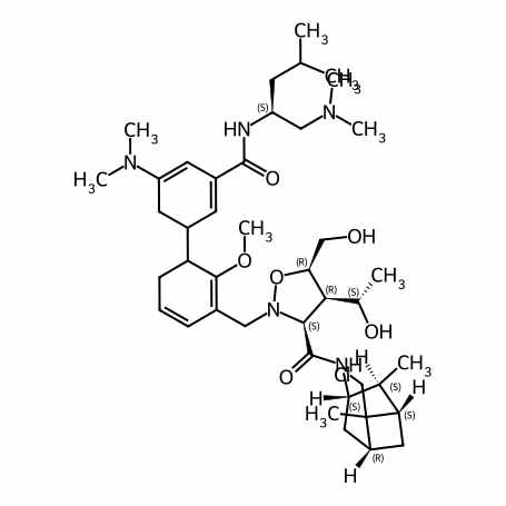 COC1=C(CN2O[C@@H](CO)[C@@H]([C@H](C)O)[C@H]2C(=O)N[C@H]2C[C@H]3C[C@@H]([C@@H]2C)C3(C)CCl)C=CCC1C1C=C(C(=O)N[C@@H](CC(C)C)CN(C)C)C=C(N(C)C)C1